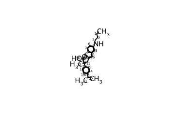 CCCCNc1ccc2sc(CC(C)(C(=O)O)c3ccc(C(C)C)cc3)cc2c1